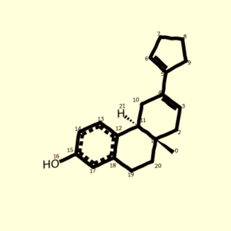 C[C@]12CC=C(C3=CCCC3)C[C@@H]1c1ccc(O)cc1CC2